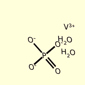 O.O.O=P([O-])([O-])[O-].[V+3]